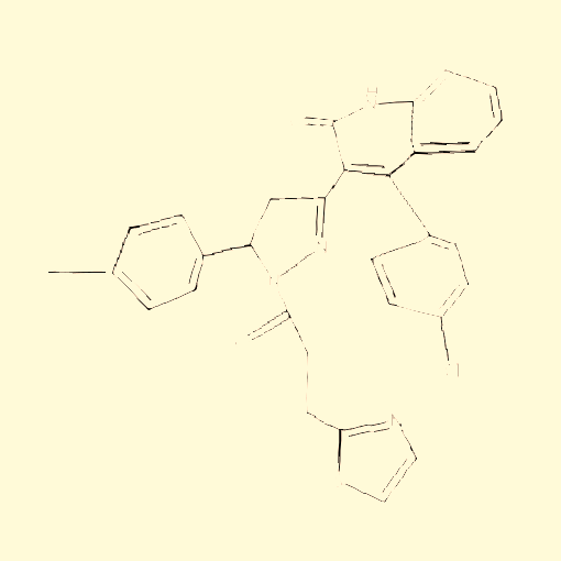 Cc1ccc(C2CC(c3c(-c4ccc(Cl)cc4)c4ccccc4[nH]c3=O)=NN2C(=O)CCc2nccs2)cc1